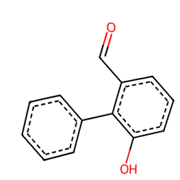 O=Cc1cccc(O)c1-c1ccccc1